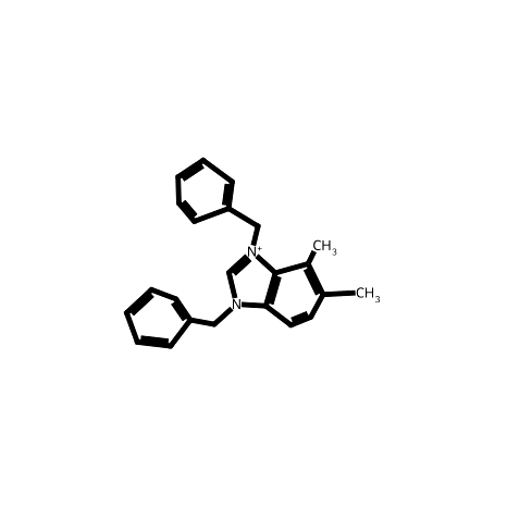 Cc1ccc2c(c1C)[n+](Cc1ccccc1)cn2Cc1ccccc1